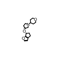 c1cc2c(o1)C(O[C@@H]1CCN(C3CCOCC3)C1)CC2